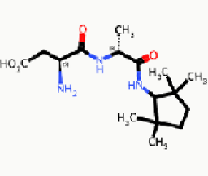 C[C@@H](NC(=O)[C@@H](N)CC(=O)O)C(=O)NC1C(C)(C)CCC1(C)C